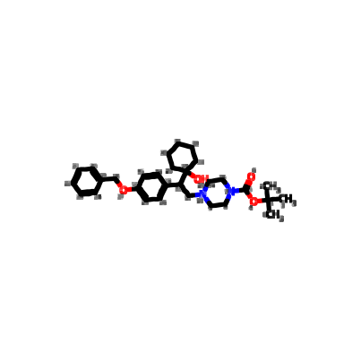 CC(C)(C)OC(=O)N1CCN(CC(c2ccc(OCc3ccccc3)cc2)C2(O)CCCCC2)CC1